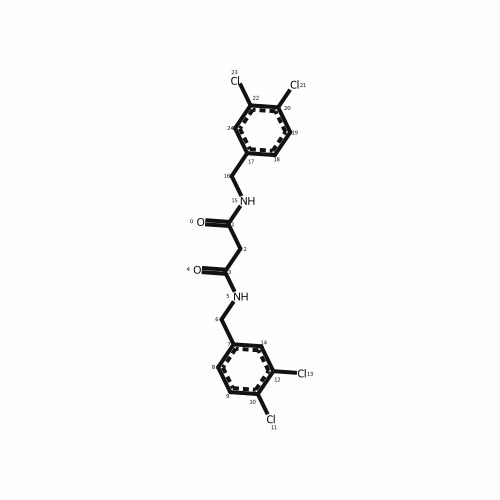 O=C(CC(=O)NCc1ccc(Cl)c(Cl)c1)NCc1ccc(Cl)c(Cl)c1